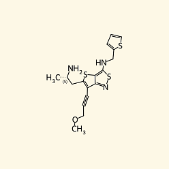 COCC#Cc1c(C[C@H](C)N)sc2c(NCc3cccs3)snc12